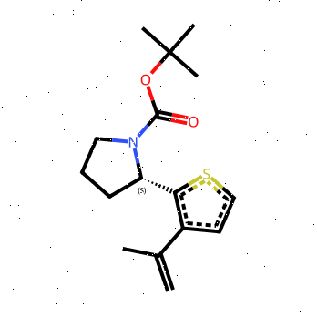 C=C(C)c1ccsc1[C@@H]1CCCN1C(=O)OC(C)(C)C